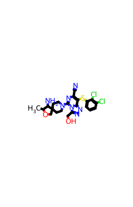 CC1OCC2(CCN(c3nc(C#N)c(Sc4cccc(Cl)c4Cl)c4nnc(CO)n34)CC2)C1N